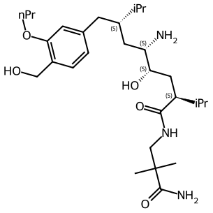 CCCOc1cc(C[C@@H](C[C@H](N)[C@@H](O)C[C@H](C(=O)NCC(C)(C)C(N)=O)C(C)C)C(C)C)ccc1CO